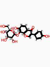 O=c1c(-c2ccc(O)cc2)coc2c(OC3O[C@H](CO)[C@@H](O)[C@H](O)[C@H]3O)c(O)ccc12